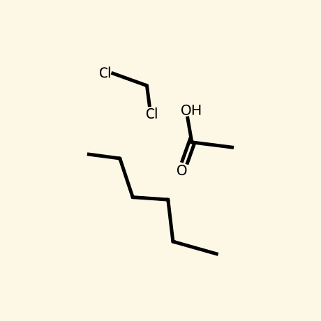 CC(=O)O.CCCCCC.ClCCl